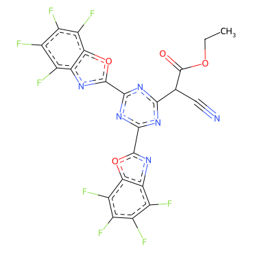 CCOC(=O)C(C#N)c1nc(-c2nc3c(F)c(F)c(F)c(F)c3o2)nc(-c2nc3c(F)c(F)c(F)c(F)c3o2)n1